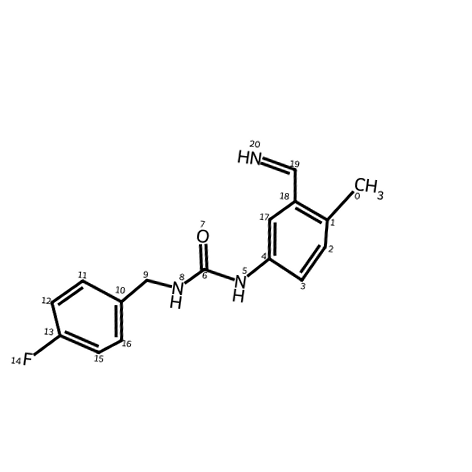 Cc1ccc(NC(=O)NCc2ccc(F)cc2)cc1C=N